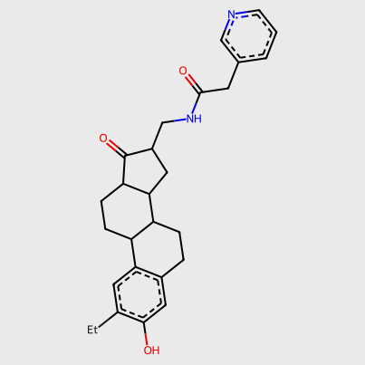 CCc1cc2c(cc1O)CCC1C2CCC2C(=O)C(CNC(=O)Cc3cccnc3)CC21